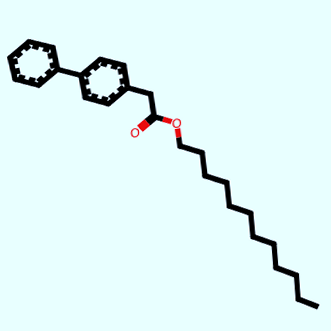 CCCCCCCCCCCCOC(=O)Cc1ccc(-c2ccccc2)cc1